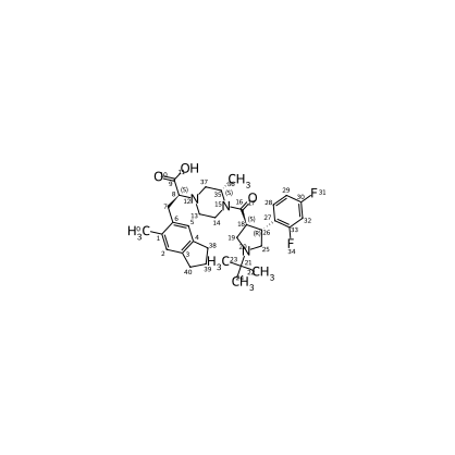 Cc1cc2c(cc1C[C@@H](C(=O)O)N1CCN(C(=O)[C@@H]3CN(C(C)(C)C)C[C@H]3c3ccc(F)cc3F)[C@@H](C)C1)CCC2